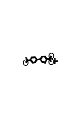 CC(=O)c1ccc(-c2ccc(C(=O)OC(C)(C)C)cc2)cc1